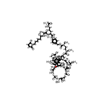 CC[C@H](C)[C@@H]1NC(=O)CNC(=O)[C@@H]2Cc3c([nH]c4cc(OC)ccc34)[S+]([O-])C[C@H](NC(=O)CNC1=O)C(=O)N[C@@H](CC(N)=O)C(=O)N1C[C@H](OC(=O)N(C)CCN(C)C(=O)OCc3ccc(NC(=O)[C@H](CCCNC(N)=O)NC(=O)[C@@H](NC(=O)CCCCCN4C(=O)C=CC4=O)C(C)C)cc3)CC1C(=O)N[C@@H]([C@@H](C)[C@@H]1COC(=O)O1)C(=O)N2